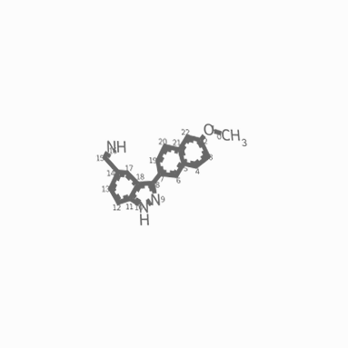 COc1ccc2cc(-c3n[nH]c4ccc(C=N)cc34)ccc2c1